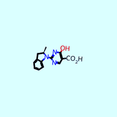 C[C@@H]1Cc2ccccc2N1c1ncc(C(=O)O)c(O)n1